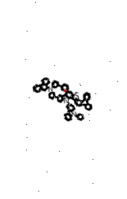 c1ccc(-c2cccc(N(c3cccc(-c4ccc5c(c4)c4ccc6sc7c(ccc8c9ccccc9c9ccccc9c87)c6c4n5-c4ccc5c(c4)c4ccccc4n5-c4ccccc4)c3)c3cc4ccccc4c4ccccc34)c2)cc1